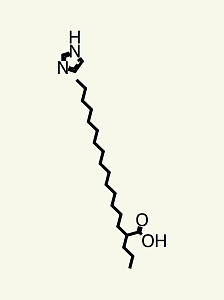 CCCCCCCCCCCCCCCC(CCC)C(=O)O.c1c[nH]cn1